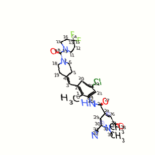 Cc1c(C=C2CCN(C(=O)N3CCC(F)(F)CC3)CC2)cc(Cl)cc1NC(=O)C(/C=C(/C#N)N(C)C)=C/C=O